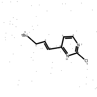 CC(C)(C)CC=Cc1ccnc(Cl)n1